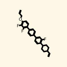 C=CCOc1ccc(-c2ccc(-c3ccc(C4CCC(C=C)CC4)c(F)c3)cc2)c(F)c1F